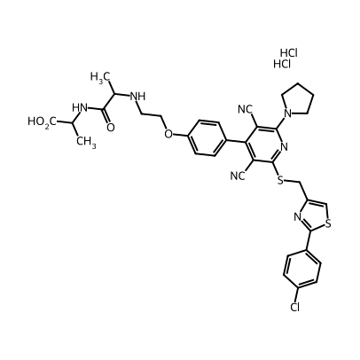 CC(NC(=O)C(C)NCCOc1ccc(-c2c(C#N)c(SCc3csc(-c4ccc(Cl)cc4)n3)nc(N3CCCC3)c2C#N)cc1)C(=O)O.Cl.Cl